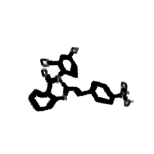 O=c1c2ccccc2nc(C=Cc2ccc([N+](=O)[O-])cc2)n1-c1ccc(Cl)cc1Cl